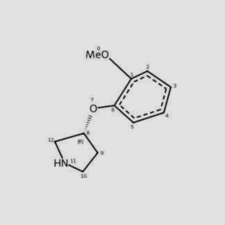 COc1ccccc1O[C@@H]1CCNC1